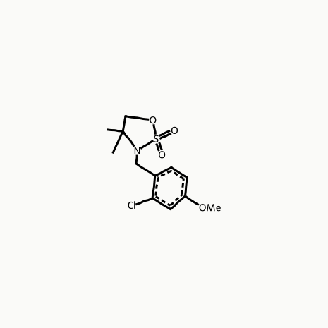 COc1ccc(CN2C(C)(C)COS2(=O)=O)c(Cl)c1